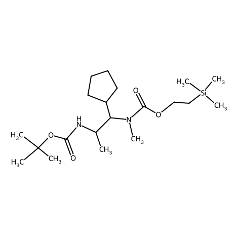 CC(NC(=O)OC(C)(C)C)C(C1CCCC1)N(C)C(=O)OCC[Si](C)(C)C